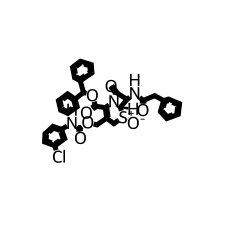 O=C(Cc1ccccc1)NC1C(=O)N2C(C(=O)OC(c3ccccc3)c3ccccc3)=C(COC(=O)Nc3cccc(Cl)c3)C[S+]([O-])[C@@H]12